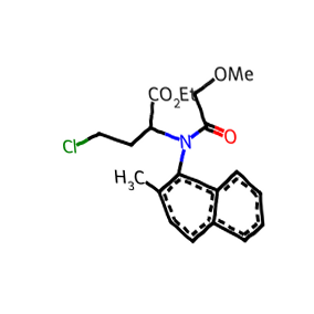 CCOC(=O)C(CCCl)N(C(=O)COC)c1c(C)ccc2ccccc12